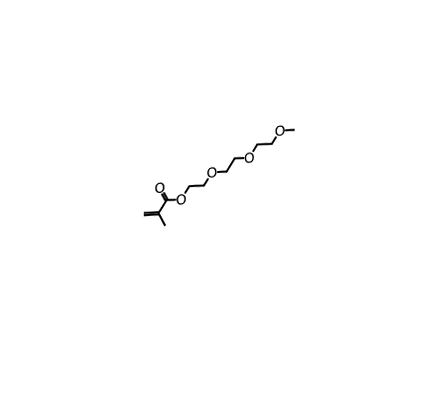 C=C(C)C(=O)OCCOCCOCCOC